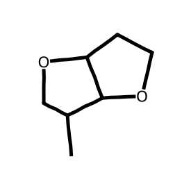 CC1COC2CCOC12